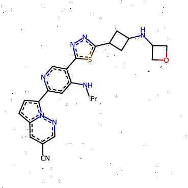 CC(C)Nc1cc(-c2ccc3cc(C#N)cnn23)ncc1-c1nnc(C2CC(NC3COC3)C2)s1